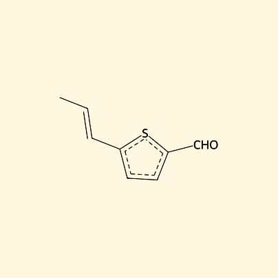 C/C=C/c1ccc(C=O)s1